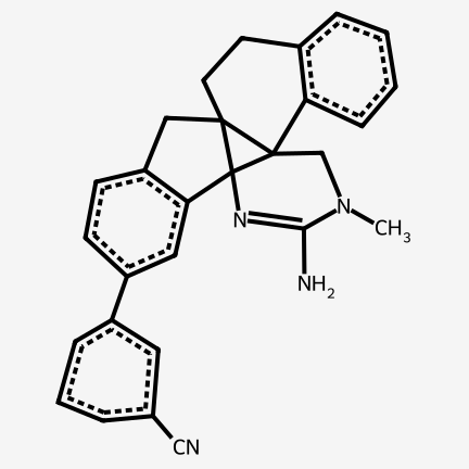 CN1CC23c4ccccc4CCC24Cc2ccc(-c5cccc(C#N)c5)cc2C43N=C1N